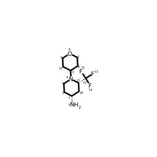 N[C@@H]1CCN(C2CCOCC2)[C@H](C(F)(F)F)C1